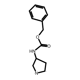 O=C(NC1C[CH][N]C1)OCc1ccccc1